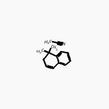 CC#N.CC1(C)CC=Cc2ccccc21